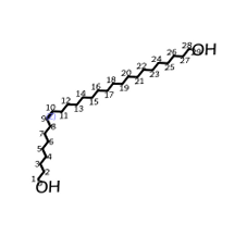 OCCCCCCCC/C=C\CCCCCCCCCCCCCCCCCCO